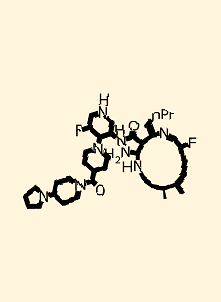 CCC/C=C1\N=C/C(F)CCC(C)[C@@H](C)CCNC(N)C1C(=O)NC1CNCC(F)C1N1CCC(C(=O)N2CCC(N3CCCC3)CC2)CC1